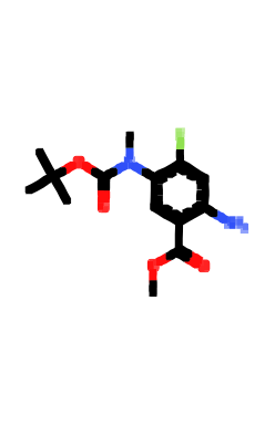 COC(=O)c1cc(N(C)C(=O)OC(C)(C)C)c(F)cc1N